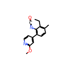 CCc1c(C)ccc(-c2ccnc(OC)c2)c1N=C=O